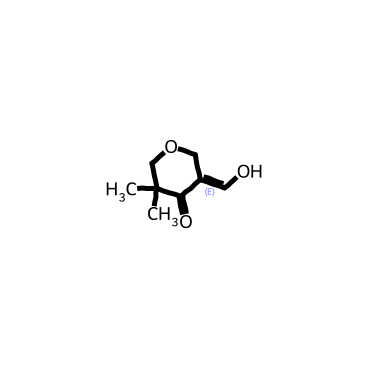 CC1(C)COC/C(=C\O)C1=O